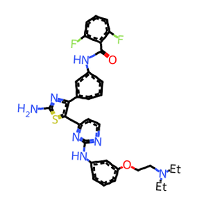 CCN(CC)CCOc1cccc(Nc2nccc(-c3sc(N)nc3-c3cccc(NC(=O)c4c(F)cccc4F)c3)n2)c1